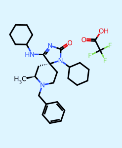 C[C@H]1C[C@]2(CCN1Cc1ccccc1)C(NC1CCCCC1)=NC(=O)N2C1CCCCC1.O=C(O)C(F)(F)F